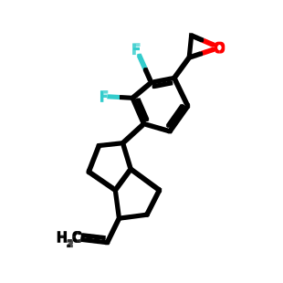 C=CC1CCC2C(c3ccc(C4CO4)c(F)c3F)CCC12